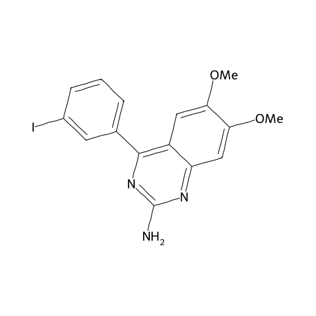 COc1cc2nc(N)nc(-c3cccc(I)c3)c2cc1OC